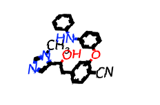 Cn1cncc1C(O)Cc1ccc(C#N)c(Oc2cccc(Nc3ccccc3)c2)c1